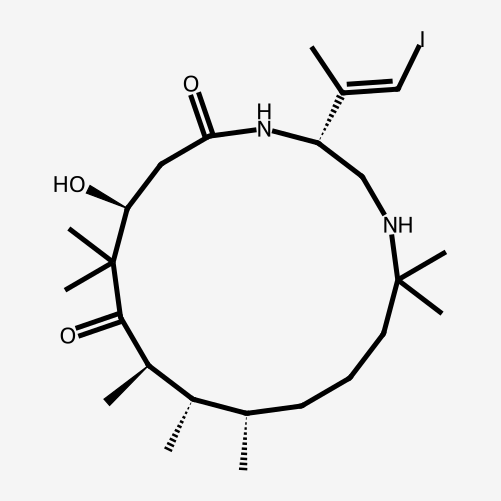 C/C(=C\I)[C@@H]1CNC(C)(C)CCC[C@H](C)[C@H](C)[C@@H](C)C(=O)C(C)(C)[C@@H](O)CC(=O)N1